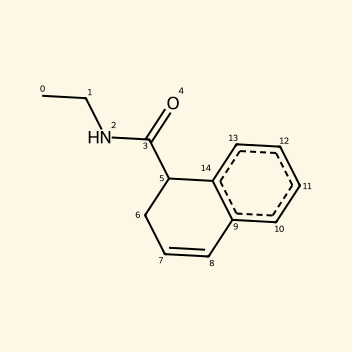 CCNC(=O)C1CC=Cc2ccccc21